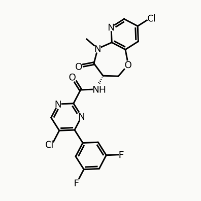 CN1C(=O)[C@@H](NC(=O)c2ncc(Cl)c(-c3cc(F)cc(F)c3)n2)COc2cc(Cl)cnc21